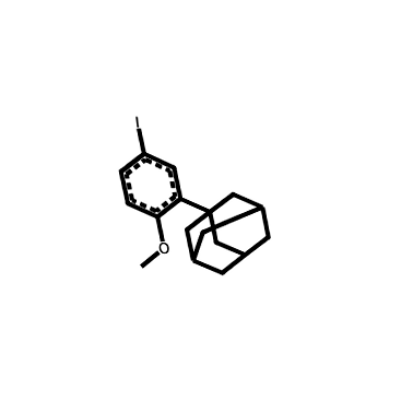 COc1ccc(I)cc1C12CC3CC(CC(C3)C1)C2